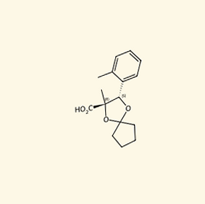 Cc1ccccc1[C@@H]1OC2(CCCC2)O[C@@]1(C)C(=O)O